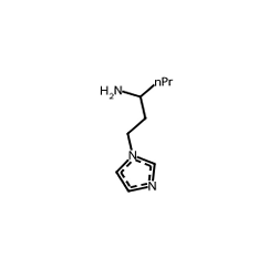 CCCC(N)CCn1ccnc1